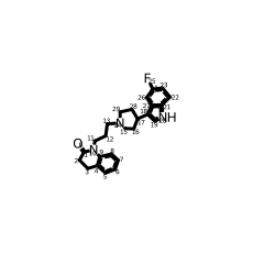 O=C1CCc2ccccc2N1CCCN1CCC(c2c[nH]c3ccc(F)cc23)CC1